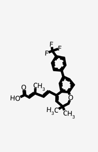 CC(/C=C/C1=CC(C)(C)COc2ccc(-c3ccc(C(F)(F)F)cc3)cc21)=C\C(=O)O